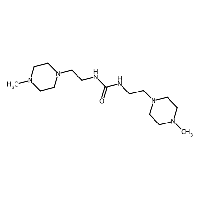 CN1CCN(CCNC(=O)NCCN2CCN(C)CC2)CC1